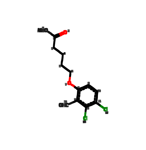 COC(=O)CCCCOc1ccc(Cl)c(Cl)c1C=O